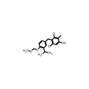 COCOc1ccc(Cc2c(Cl)cc(O)c(I)c2Cl)cc1C(C)C